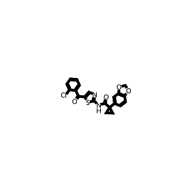 O=C(c1cnc(NC(=O)C2(c3ccc4c(c3)OCO4)CC2)s1)c1ccccc1Cl